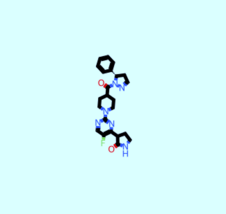 O=C1NCCC1c1nc(N2CCC(C(=O)N3N=CC[C@H]3c3ccccc3)CC2)ncc1F